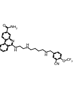 N#Cc1cc(CNCCCCNCCNc2nc3cc(C(N)=O)ccc3c3cnccc23)ccc1OC(F)(F)F